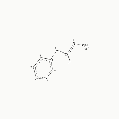 C/C(Cc1ccccc1)=N\O